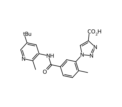 Cc1ccc(C(=O)Nc2cc(C(C)(C)C)cnc2C)cc1-n1cc(C(=O)O)nn1